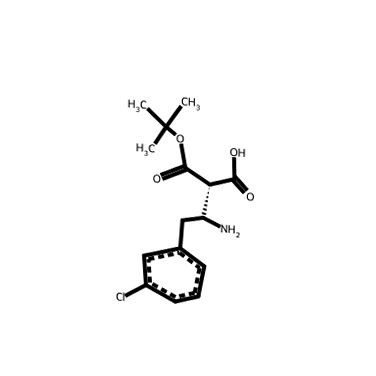 CC(C)(C)OC(=O)[C@H](C(=O)O)C(N)Cc1cccc(Cl)c1